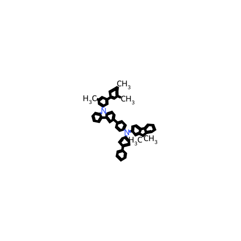 Cc1cc(-c2cc(C)c3c(c2)C3C)cc(-n2c3ccccc3c3cc(-c4ccc(N(c5ccc(-c6ccccc6)cc5)c5ccc6c(c5)C(C)(C)c5ccccc5-6)cc4)ccc32)c1